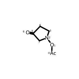 CC(=O)ON1CCC(=O)C1